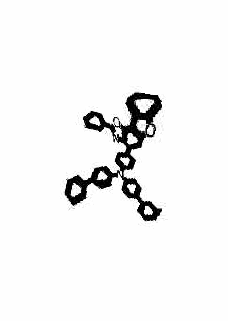 c1ccc(-c2ccc(N(c3ccc(-c4ccccc4)cc3)c3ccc(-c4cc5oc6ccccc6c5c5oc(-c6ccccc6)nc45)cc3)cc2)cc1